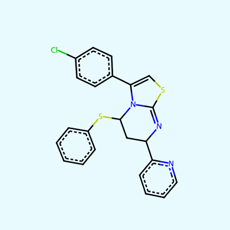 Clc1ccc(C2=CSC3=NC(c4ccccn4)CC(Sc4ccccc4)N23)cc1